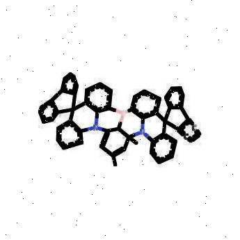 CC1=CC2(C)C3B(c4cccc5c4N(C3=C1)c1ccccc1C51c3ccccc3-c3ccccc31)c1cccc3c1N2c1ccccc1C31c2ccccc2-c2ccccc21